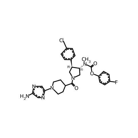 CN(C(=O)Oc1ccc(F)cc1)[C@@H]1CN(C(=O)C2CCN(c3cnc(N)cn3)CC2)C[C@H]1c1ccc(Cl)cc1